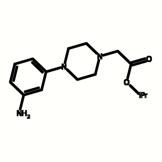 CC(C)OC(=O)CN1CCN(c2cccc(N)c2)CC1